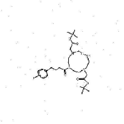 CC(C)(C)OC(=O)CN1CCNCCN(CC(=O)OC(C)(C)C)CCN(C(=O)CCCc2ccc(I)cc2)CC1